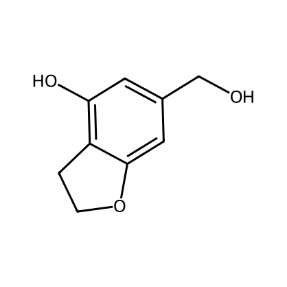 OCc1cc(O)c2c(c1)OCC2